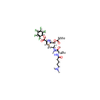 CC[C@H](C)[C@H](NC(=O)CCCCN(C)C)C(=O)N(C)C(C[C@@H](OC(=O)NC)c1nc(C(=O)Oc2c(F)c(F)c(F)c(F)c2F)cs1)C(C)C